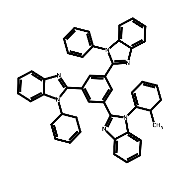 CC1CC=CC=C1n1c(-c2cc(-c3nc4ccccc4n3-c3ccccc3)cc(-c3nc4ccccc4n3C3C=CC=CC3)c2)nc2ccccc21